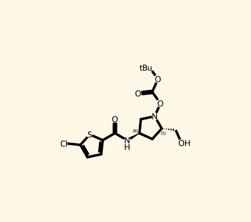 CC(C)(C)OC(=O)ON1C[C@H](NC(=O)c2ccc(Cl)s2)C[C@H]1CO